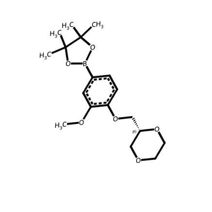 COc1cc(B2OC(C)(C)C(C)(C)O2)ccc1OC[C@H]1COCCO1